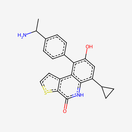 CC(N)c1ccc(-c2c(O)cc(C3CC3)c3[nH]c(=O)c4sccc4c23)cc1